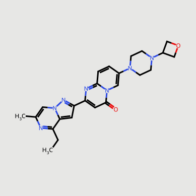 CCc1nc(C)cn2nc(-c3cc(=O)n4cc(N5CCN(C6COC6)CC5)ccc4n3)cc12